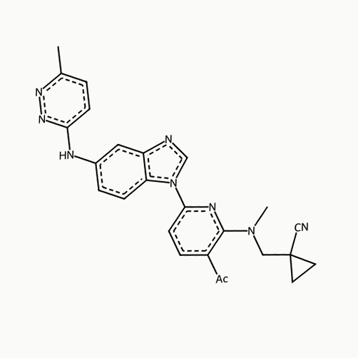 CC(=O)c1ccc(-n2cnc3cc(Nc4ccc(C)nn4)ccc32)nc1N(C)CC1(C#N)CC1